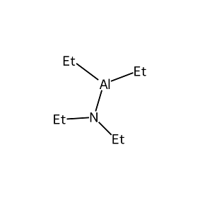 CC[N](CC)[Al]([CH2]C)[CH2]C